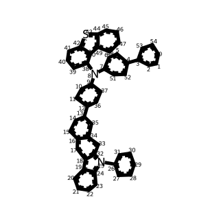 c1ccc(-c2ccc(N(c3ccc(-c4ccc5cc6c7ccccc7n(-c7ccccc7)c6cc5c4)cc3)c3cccc4sc5ccccc5c34)cc2)cc1